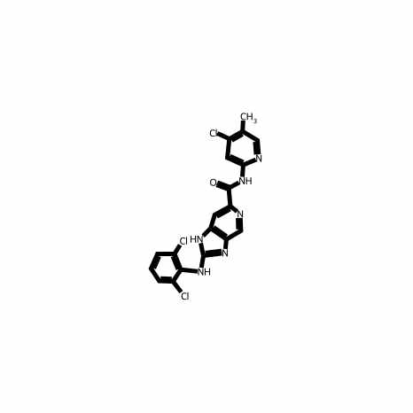 Cc1cnc(NC(=O)c2cc3[nH]c(Nc4c(Cl)cccc4Cl)nc3cn2)cc1Cl